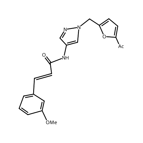 COc1cccc(C=CC(=O)Nc2cnn(Cc3ccc(C(C)=O)o3)c2)c1